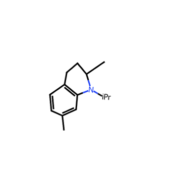 Cc1ccc2c(c1)N(C(C)C)C(C)CC2